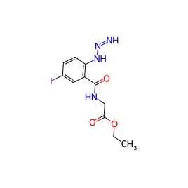 CCOC(=O)CNC(=O)c1cc(I)ccc1NN=N